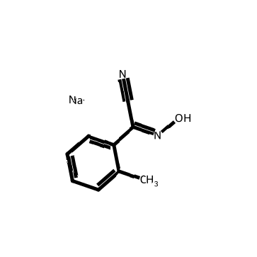 Cc1ccccc1C(C#N)=NO.[Na]